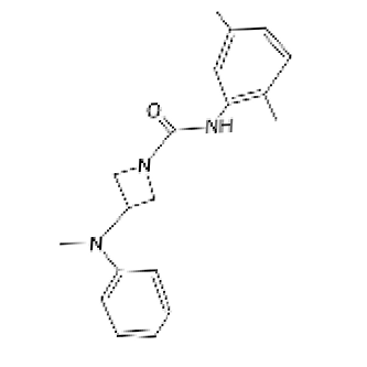 Cc1ccc(C)c(NC(=O)N2CC(N(C)c3ccccc3)C2)c1